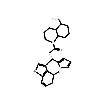 O=C(O)C1CCCC2C1CCCN2C(=O)C[C@H](c1cccs1)c1c[nH]c2c1C(Cl)CC=C2